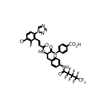 O=C(C=Cc1c(-n2cnnn2)ccc(Cl)c1F)NC(Cc1ccc(NC(=O)C(F)(F)C(F)(F)C(F)(F)C(F)(F)F)cc1)C(=O)Nc1ccc(C(=O)O)cc1